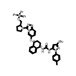 Cc1ccc(-n2nc(C(C)(C)C)cc2NC(=O)N[C@H]2CC[C@@H](Oc3ccc4nnc(N5CCCC5CO[Si](C(C)C)(C(C)C)C(C)C)n4c3)c3ccccc32)cc1